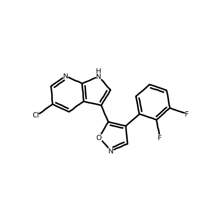 Fc1cccc(-c2cnoc2-c2c[nH]c3ncc(Cl)cc23)c1F